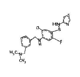 CN(C)Cc1cccc(CNc2cc(F)c(SNc3cscn3)cc2Cl)c1